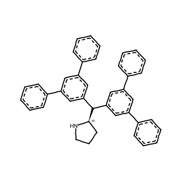 c1ccc(-c2cc(-c3ccccc3)cc(C(c3cc(-c4ccccc4)cc(-c4ccccc4)c3)[C@H]3CCCN3)c2)cc1